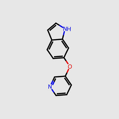 c1cncc(Oc2ccc3cc[nH]c3c2)c1